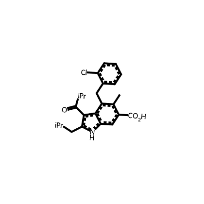 Cc1c(C(=O)O)cc2[nH]c(CC(C)C)c(C(=O)C(C)C)c2c1Cc1ccccc1Cl